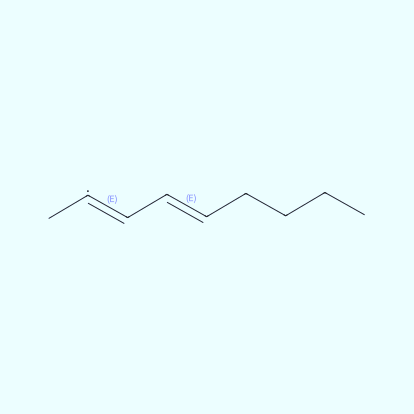 C/[C]=C/C=C/CCCC